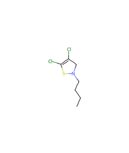 CCCCN1CC(Cl)=C(Cl)S1